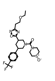 CCOCCc1noc(C2CC(c3ccc(C(F)(F)F)cc3)CN(C(=O)N3CC[S+]([O-])CC3)C2)n1